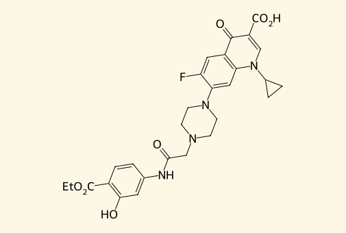 CCOC(=O)c1ccc(NC(=O)CN2CCN(c3cc4c(cc3F)c(=O)c(C(=O)O)cn4C3CC3)CC2)cc1O